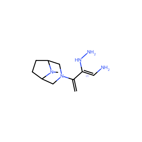 C=C(/C(=C/N)NN)N1CC2CCC(C1)N2C